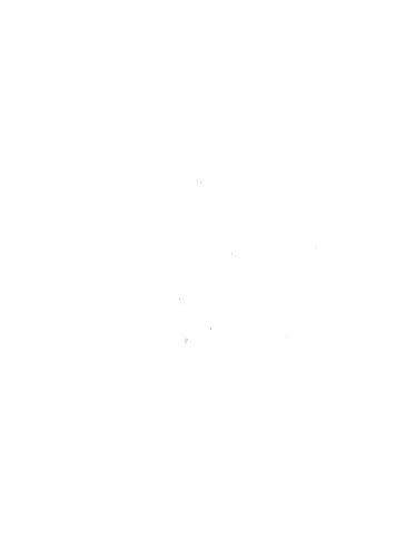 CC(=O)O.CCc1cccc2c(-c3nc4cc(C)ccc4[nH]c3=O)cn(CCCN)c12